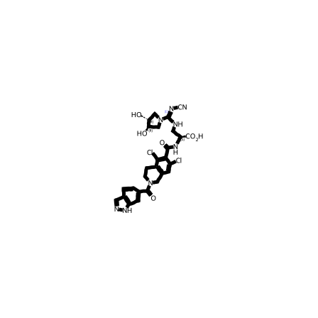 N#C/N=C(\NC[C@H](NC(=O)c1c(Cl)cc2c(c1Cl)CCN(C(=O)c1ccc3cn[nH]c3c1)C2)C(=O)O)N1C[C@@H](O)[C@H](O)C1